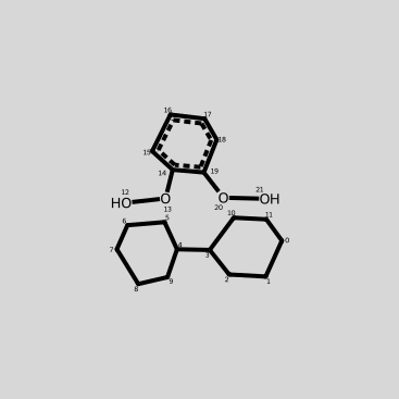 C1CCC(C2CCCCC2)CC1.OOc1ccccc1OO